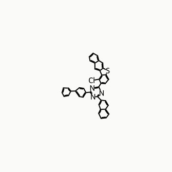 Clc1c(-c2nc(-c3ccc(-c4ccccc4)cc3)nc(-c3ccc4ccccc4c3)n2)ccc2sc3cc4ccccc4cc3c12